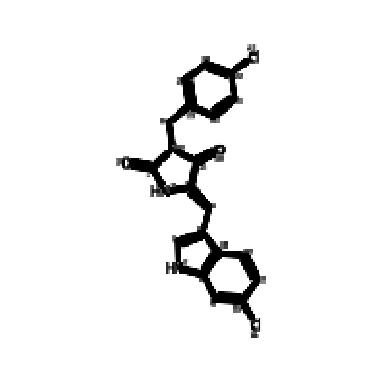 O=C1NC(=Cc2c[nH]c3cc(Cl)ccc23)C(=O)N1Cc1ccc(Cl)cc1